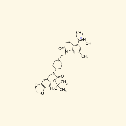 CC/C(=N/O)c1cc(C)cc2c1ccc(=O)n2CCN1CCC(N(Cc2ccc3c(c2)OCCO3)C(=O)OC(C)(C)C)CC1